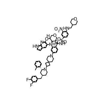 Cc1ccccc1[C@H]1C[C@H](Cc2ccc(F)c(F)c2)CCN1C1CC2(CCN(c3ccc(C(=O)NS(=O)(=O)c4ccc(NCC5CCOCC5)c([N+](=O)[O-])c4)c(N4c5cc6cc[nH]c6nc5O[C@H]5COCC[C@@H]54)c3)CC2)C1